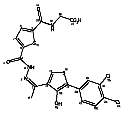 C/C(=N/NC(=O)c1ccc(C(=O)NCC(=O)O)s1)c1csc(-c2ccc(Cl)c(Cl)c2)c1O